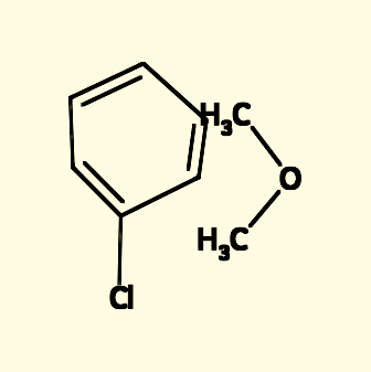 COC.Clc1ccccc1